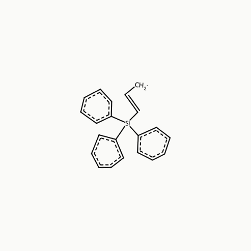 [CH2]C=C[Si](c1ccccc1)(c1ccccc1)c1ccccc1